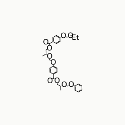 CCOCOc1ccc(C(=O)OCC(C)OCOc2ccc(C(=O)OCC(C)OCOc3ccccc3)cc2)cc1